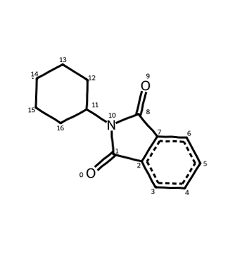 O=C1c2ccccc2C(=O)N1C1CC[CH]CC1